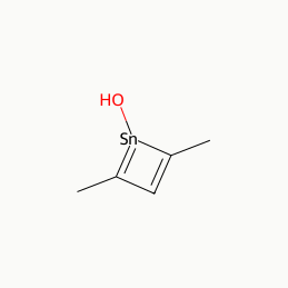 C[C]1=C[C](C)=[Sn]1[OH]